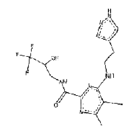 Cc1nc(C(=O)NCC(O)C(F)(F)F)nc(NCCc2cn[nH]c2)c1C